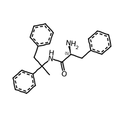 CC(Cc1ccccc1)(NC(=O)[C@@H](N)Cc1ccccc1)c1ccccc1